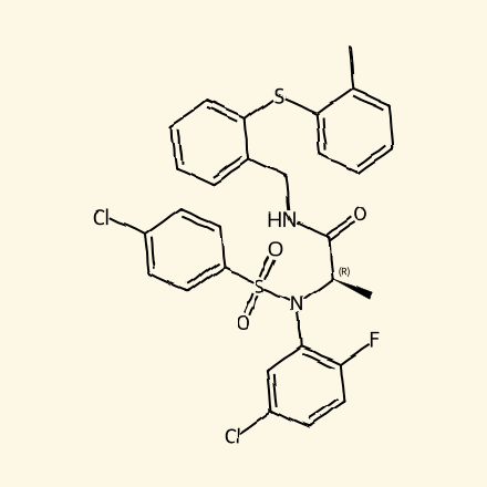 Cc1ccccc1Sc1ccccc1CNC(=O)[C@@H](C)N(c1cc(Cl)ccc1F)S(=O)(=O)c1ccc(Cl)cc1